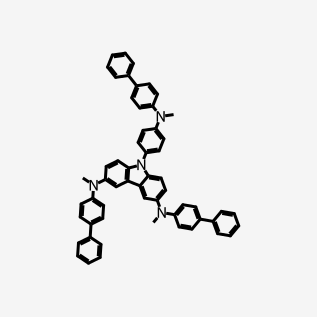 CN(c1ccc(-c2ccccc2)cc1)c1ccc(-n2c3ccc(N(C)c4ccc(-c5ccccc5)cc4)cc3c3cc(N(C)c4ccc(-c5ccccc5)cc4)ccc32)cc1